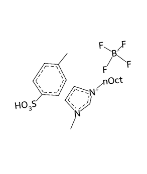 CCCCCCCC[n+]1ccn(C)c1.Cc1ccc(S(=O)(=O)O)cc1.F[B-](F)(F)F